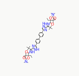 CCC(OC(=O)N(C)C)(C(=O)N[C@H](c1nc(-c2ccc(-c3ccc(-c4c[nH]c([C@@H](NC(=O)C(CC)(OC(=O)N(C)C)C5(C)CC5)C(C)(C)C)n4)cc3)cc2)c[nH]1)C(C)(C)C)C1(C)CC1